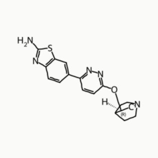 Nc1nc2ccc(-c3ccc(O[C@H]4CN5CCC4CC5)nn3)cc2s1